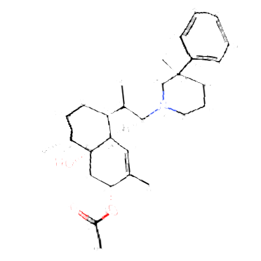 CC(=O)O[C@@H]1[CH][C@@]2(O)[C@H](C)CC[C@@H](C(C)CN3CCC[C@@](C)(c4ccccc4)C3)[C@H]2C=C1C